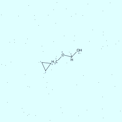 C1CC1.COPO